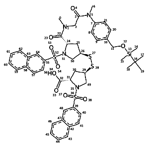 CN(CC(=O)N(C)c1ccc(CO[Si](C)(C)C(C)(C)C)cc1)C(=O)[C@@H]1C[C@@H](SS[C@@H]2C[C@@H](C(=O)O)N(S(=O)(=O)c3ccc4ccccc4c3)C2)CN1S(=O)(=O)c1ccc2ccccc2c1